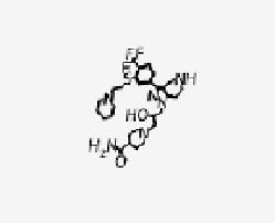 NC(=O)C1CCN(CC(O)Cn2nc(-c3ccc(C(F)(F)F)c(SCCN4CCCCC4)c3)c3c2CCNC3)CC1